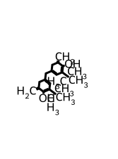 C=C1CC(CC2=CC(C(C)(C)C)=C(O)C(=C)C2)=CC(C(C)(C)C)=C1O